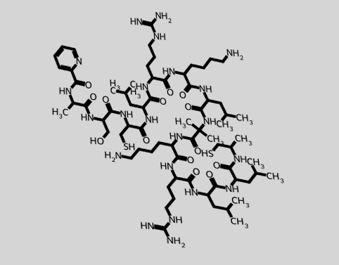 CC(C)CC(NC(=O)C(CC(C)C)NC(=O)C(CCCNC(=N)N)NC(=O)C(CCCCN)NC(=O)C(C)(C)NC(=O)C(CC(C)C)NC(=O)C(CCCCN)NC(=O)C(CCCNC(=N)N)NC(=O)C(CC(C)C)NC(=O)C(CS)NC(=O)C(CO)NC(=O)C(C)NC(=O)c1ccccn1)C(=O)NC(C)CS